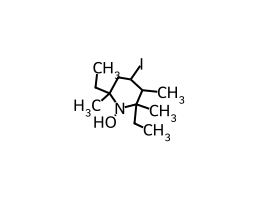 CCC1(C)CC(I)C(C)C(C)(CC)N1O